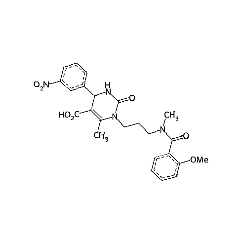 COc1ccccc1C(=O)N(C)CCCN1C(=O)NC(c2cccc([N+](=O)[O-])c2)C(C(=O)O)=C1C